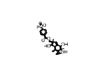 CC1=C2C(=C[C@@](C)(COC(=O)c3ccc(S(=O)(=O)F)cc3)[C@@H]2O)C(O)[C@](C)(O)C12CC2